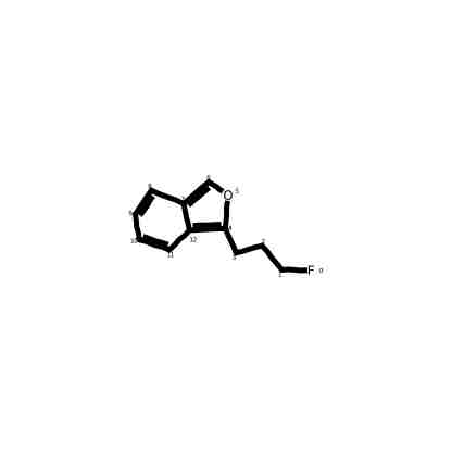 FCCCc1occ2ccccc12